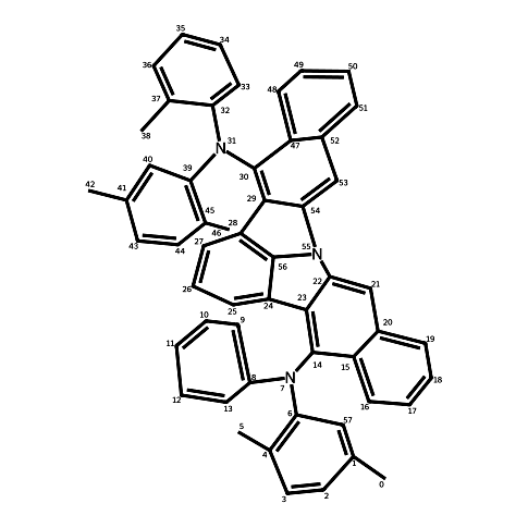 Cc1ccc(C)c(N(c2ccccc2)c2c3ccccc3cc3c2c2cccc4c5c(N(c6ccccc6C)c6cc(C)ccc6C)c6ccccc6cc5n3c24)c1